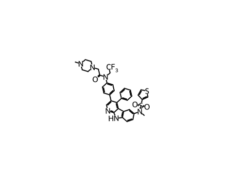 CN1CCN(CC(=O)N(CC(F)(F)F)c2ccc(-c3cnc4[nH]c5ccc(N(C)S(=O)(=O)c6ccsc6)cc5c4c3-c3ccccc3)cc2)CC1